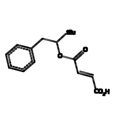 CC(C)(C)C(Cc1ccccc1)OC(=O)/C=C/C(=O)O